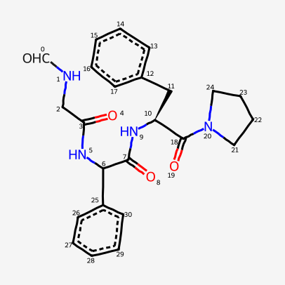 O=CNCC(=O)NC(C(=O)N[C@@H](Cc1ccccc1)C(=O)N1CCCC1)c1ccccc1